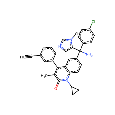 C#Cc1cccc(-c2c(C)c(=O)n(C3CC3)c3ccc(C(N)(c4ccc(Cl)cc4)c4cncn4C)cc23)c1